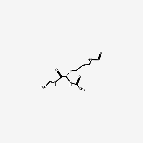 CCNC(=O)[C@H](CCCCNC=O)NC(C)=O